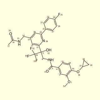 COc1cc(C(=O)NCC(O)(c2cc(CNC(C)=O)cc(-c3ccc(F)cc3)n2)C(F)(F)F)ccc1OC1CC1